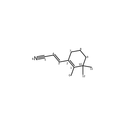 CC1=C(C=CC#N)CCCC1(C)C